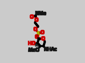 CNC(=O)OCCOS(=O)O[C@@H]1OCC(NC(C)=O)C(OC)[C@H]1O